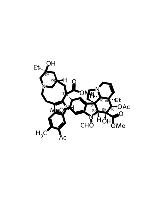 CC[C@]1(O)C[C@H]2CN(CCc3c([nH]c4cc(C(C)=O)c(C)cc34)[C@@](C(=O)OC)(C3C=C4C(=CC3OC)N(C=O)[C@H]3[C@@](O)(C(=O)OC)[C@H](OC(C)=O)[C@]5(CC)C=CCN6CC[C@]43[C@@H]65)C2)C1